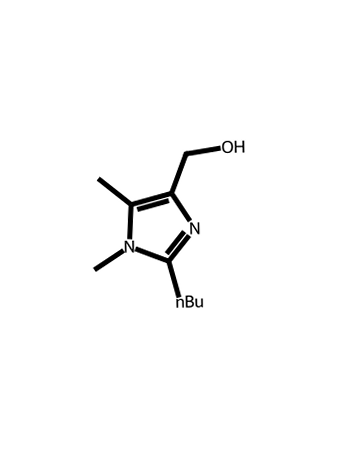 CCCCc1nc(CO)c(C)n1C